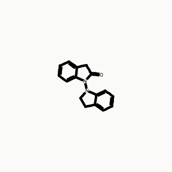 O=C1Cc2ccccc2N1N1CCc2ccccc21